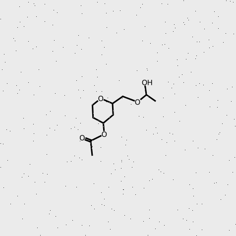 CC(=O)OC1CCOC(COC(C)O)C1